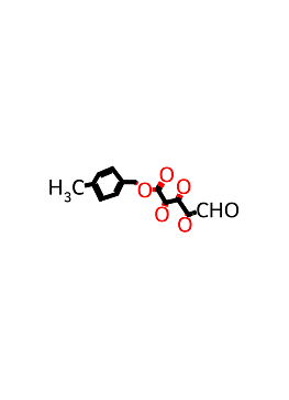 Cc1ccc(COC(=O)C(=O)C(=O)C(=O)C=O)cc1